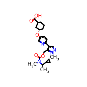 C[C@H](C1CC1)N(C)C(=O)OCc1c(-c2ccc(O[C@H]3CCCC(C(=O)O)C3)cn2)cnn1C